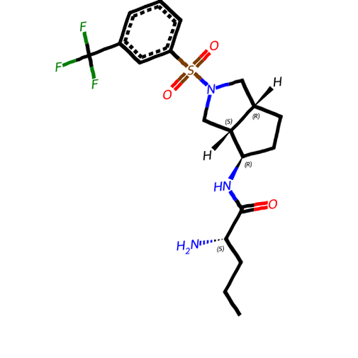 CCC[C@H](N)C(=O)N[C@@H]1CC[C@H]2CN(S(=O)(=O)c3cccc(C(F)(F)F)c3)C[C@H]21